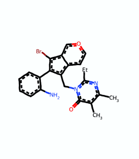 CCc1nc(C)c(C)c(=O)n1Cc1c2ccocc-2c(Br)c1-c1ccccc1N